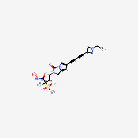 CCN1CC(C#CC#Cc2cc3n(c2)C(=O)N(CCC(C)(C(=O)NO)S(C)(=O)=O)C3)C1